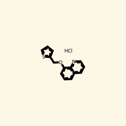 Cl.c1csc(COc2cccc3cccnc23)c1